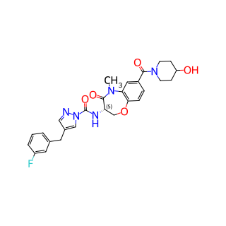 CN1C(=O)[C@@H](NC(=O)n2cc(Cc3cccc(F)c3)cn2)COc2ccc(C(=O)N3CCC(O)CC3)cc21